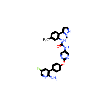 Cn1nccc1-c1ccc(C(F)(F)F)cc1NC(=O)Nc1cnc(Oc2ccc(-c3cc(F)cnc3N)cc2)nc1